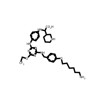 NCCCCCCOc1ccc(CNc2nc(Nc3ccc(NC(C(=O)O)C4CCCNC4)cc3)nc(OCC(F)(F)F)n2)cc1